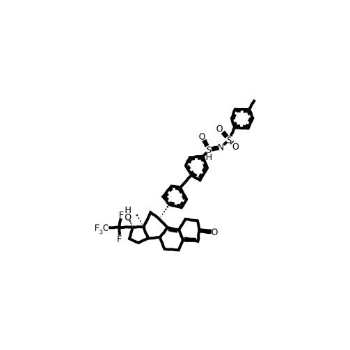 Cc1ccc(S(=O)(=O)N=[SH](=O)c2ccc(-c3ccc([C@H]4C[C@@]5(C)C(CC[C@@]5(O)C(F)(F)C(F)(F)F)C5CCC6=CC(=O)CCC6=C54)cc3)cc2)cc1